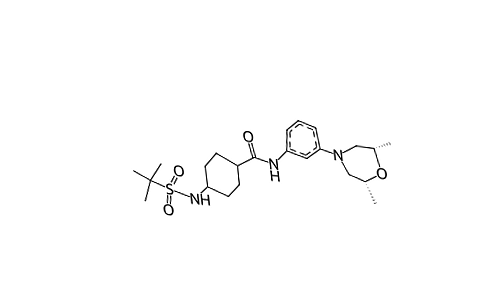 C[C@@H]1CN(c2cccc(NC(=O)C3CCC(NS(=O)(=O)C(C)(C)C)CC3)c2)C[C@H](C)O1